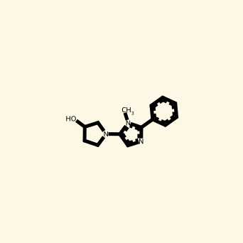 Cn1c(N2CCC(O)C2)cnc1-c1ccccc1